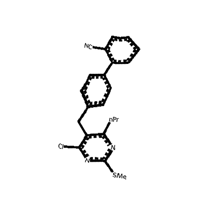 CCCc1nc(SC)nc(Cl)c1Cc1ccc(-c2ccccc2C#N)cc1